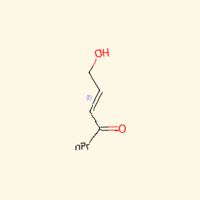 CCCC(=O)/C=C/CO